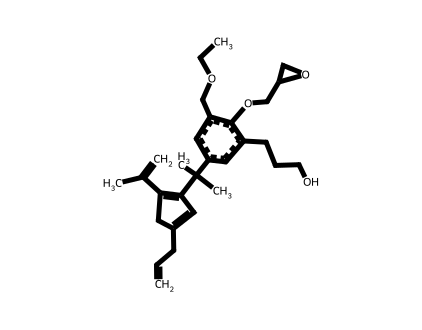 C=CCC1=CC(C(C)(C)c2cc(CCCO)c(OCC3CO3)c(COCC)c2)=C(C(=C)C)C1